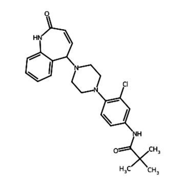 CC(C)(C)C(=O)Nc1ccc(N2CCN(C3C=CC(=O)Nc4ccccc43)CC2)c(Cl)c1